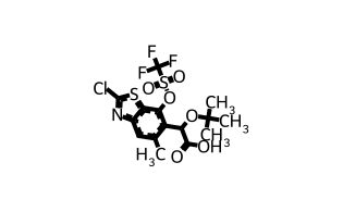 Cc1cc2nc(Cl)sc2c(OS(=O)(=O)C(F)(F)F)c1C(OC(C)(C)C)C(=O)O